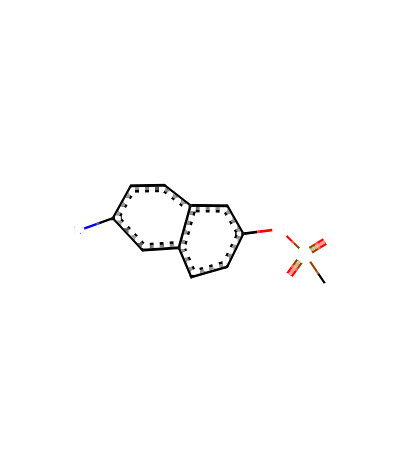 CS(=O)(=O)Oc1ccc2cc(N)ccc2c1